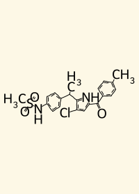 Cc1ccc(C(=O)c2cc(Cl)c(C(C)c3ccc(NS(C)(=O)=O)cc3)[nH]2)cc1